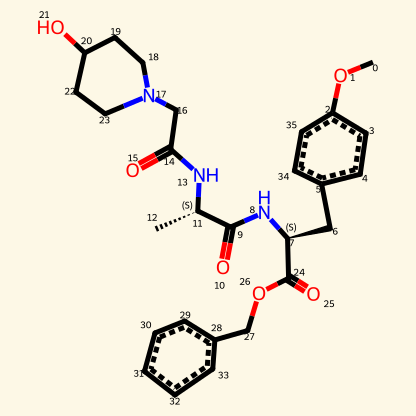 COc1ccc(C[C@H](NC(=O)[C@H](C)NC(=O)CN2CCC(O)CC2)C(=O)OCc2ccccc2)cc1